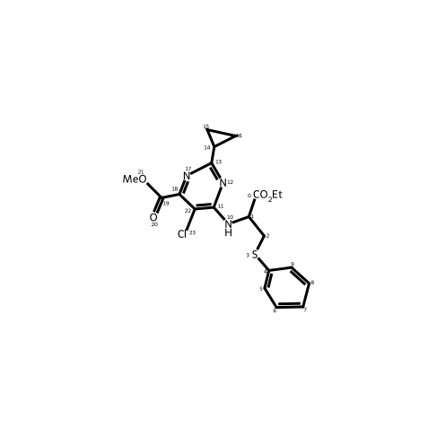 CCOC(=O)C(CSc1ccccc1)Nc1nc(C2CC2)nc(C(=O)OC)c1Cl